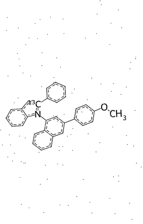 COc1ccc(-c2cc(-n3c4ccccc4c[13c]3-c3ccccc3)c3ccccc3c2)cc1